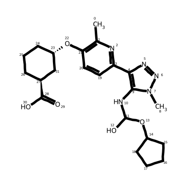 Cc1nc(-c2nnn(C)c2NC(O)OC2CCCC2)ccc1O[C@H]1CCC[C@H](C(=O)O)C1